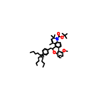 CCC[CH2][Sn]([CH2]CCC)([CH2]CCC)[c]1ccc(CC2Oc3cccc(OC)c3-c3ccc4c(c32)C(C)=CC(C)(C)N4C(=O)OC(C)(C)C)cc1